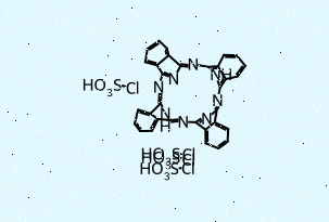 O=S(=O)(O)Cl.O=S(=O)(O)Cl.O=S(=O)(O)Cl.O=S(=O)(O)Cl.c1ccc2c(c1)-c1nc-2nc2[nH]c(nc3nc(nc4[nH]c(n1)c1ccccc41)-c1ccccc1-3)c1ccccc21